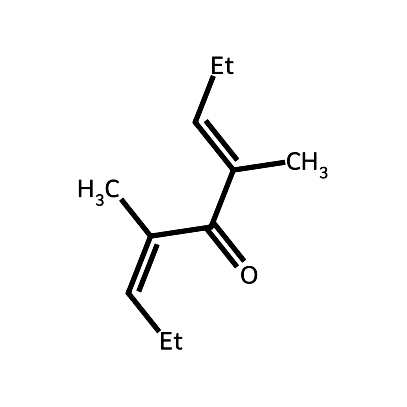 CCC=C(C)C(=O)C(C)=CCC